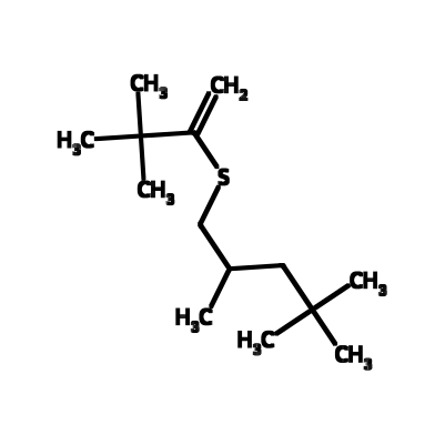 C=C(SCC(C)CC(C)(C)C)C(C)(C)C